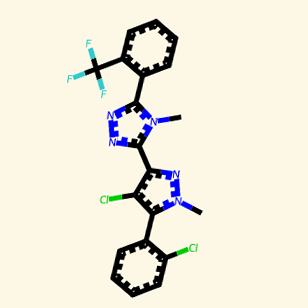 Cn1nc(-c2nnc(-c3ccccc3C(F)(F)F)n2C)c(Cl)c1-c1ccccc1Cl